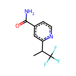 CC(c1cc(C(N)=O)ccn1)C(F)(F)F